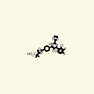 CCOC(=O)C1=C(C2CCC(c3nc(C(C)(C)C(=O)O)co3)CC2)NC(c2nccs2)=NC1c1ccc(F)c(F)c1Cl